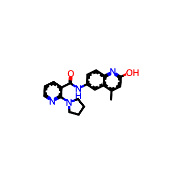 Cc1cc(O)nc2ccc(NC(=O)c3cccnc3N3CCCC3)cc12